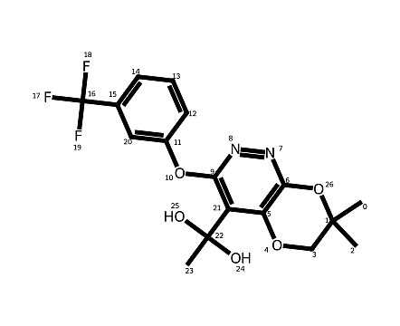 CC1(C)COc2c(nnc(Oc3cccc(C(F)(F)F)c3)c2C(C)(O)O)O1